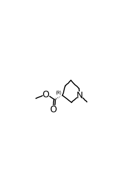 COC(=O)[C@@H]1CCCN(C)C1